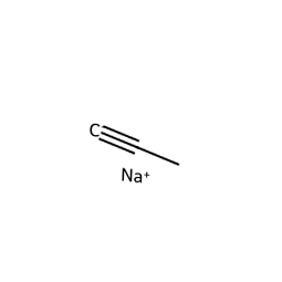 [C-]#CC.[Na+]